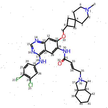 CN1CCC2(CC1)CC(COc1cc3ncnc(Nc4ccc(F)c(Cl)c4)c3cc1NC(=O)/C=C/CN1CC3CCCCC3C1)C2